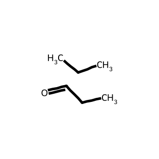 CCC.CCC=O